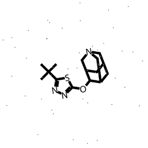 CC(C)(C)c1nnc(OC2C3CC4CC2CN(C4)C3)s1